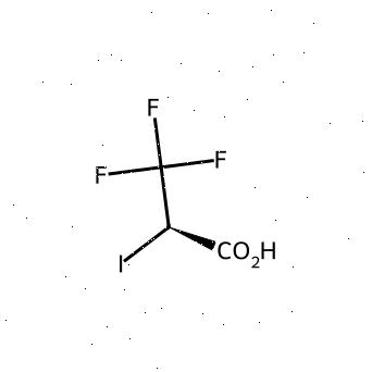 O=C(O)[C@@H](I)C(F)(F)F